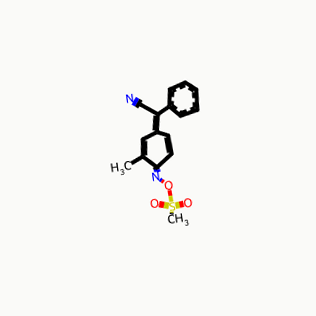 CC1=CC(=C(C#N)c2ccccc2)C=CC1=NOS(C)(=O)=O